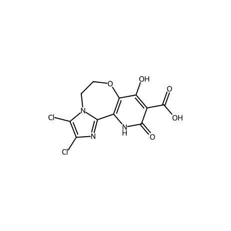 O=C(O)c1c(O)c2c([nH]c1=O)-c1nc(Cl)c(Cl)n1CCO2